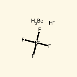 F[B-](F)(F)F.[BeH2].[H+]